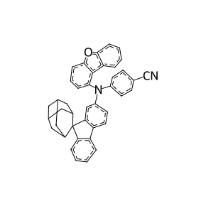 N#Cc1ccc(N(c2ccc3c(c2)C2(c4ccccc4-3)C3CC4CC(C3)CC2C4)c2cccc3oc4ccccc4c23)cc1